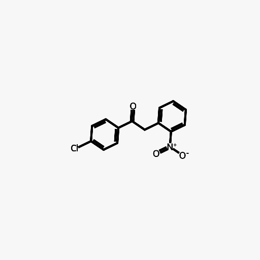 O=C(Cc1ccccc1[N+](=O)[O-])c1ccc(Cl)cc1